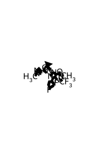 Cn1cc([C@@H]2CN(c3nc(-c4ccc(F)cc4F)c4nc(C(F)(F)F)n(C)c(=O)c4n3)CC3(CC3)O2)cn1